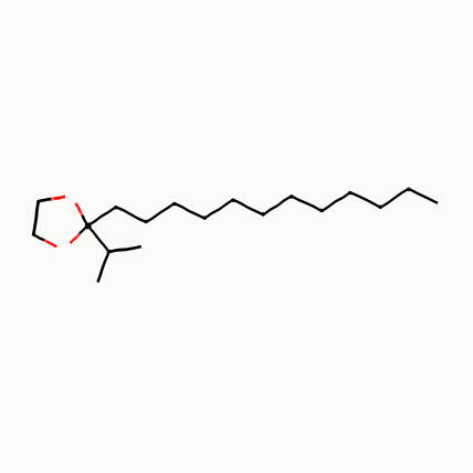 CCCCCCCCCCCCC1(C(C)C)OCCO1